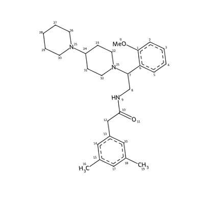 COc1ccccc1C(CNC(=O)Cc1cc(C)cc(C)c1)N1CCC(N2CCCCC2)CC1